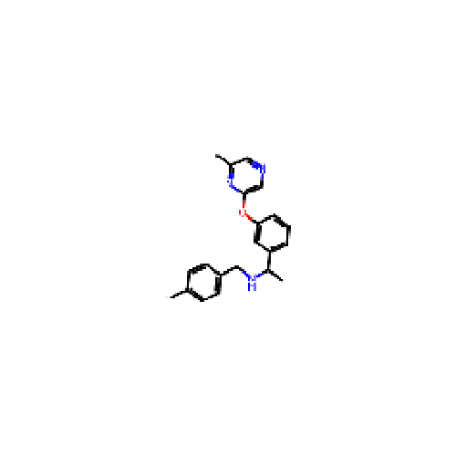 [CH2]c1ccc(CNC(C)c2cccc(Oc3cncc(C)n3)c2)cc1